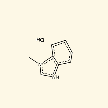 C[n+]1c[nH]c2ccccc21.Cl